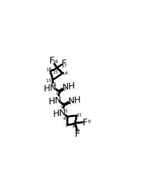 N=C(NC(=N)NC1CC(F)(F)C1)NC1CC(F)(F)C1